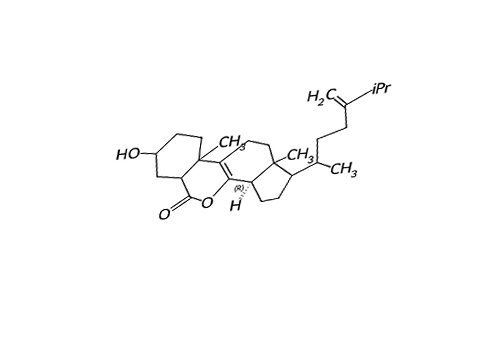 C=C(CCC(C)C1CC[C@H]2C3=C(CCC12C)C1(C)CCC(O)CC1C(=O)O3)C(C)C